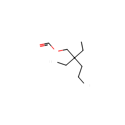 CCCC(CC)(CC)CO[C]=O